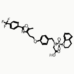 Cc1oc(-c2ccc(C(F)(F)F)cc2)nc1CCOc1ccc(CN(CC(=O)O)S(=O)(=O)N2CCCc3ccccc32)cc1